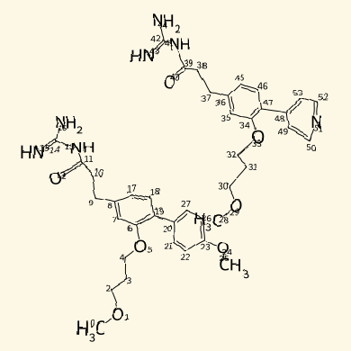 COCCCOc1cc(CCC(=O)NC(=N)N)ccc1-c1ccc(OC)cc1.COCCCOc1cc(CCC(=O)NC(=N)N)ccc1-c1ccncc1